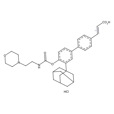 Cl.O=C(O)/C=C/c1ccc(-c2ccc(OC(=O)NCCN3CCOCC3)c(C34CC5CC(CC(C5)C3)C4)c2)cc1